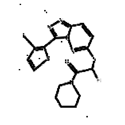 CCC(Sc1ccc2nnc(-c3sccc3I)n2n1)C(=O)N1CCCCC1